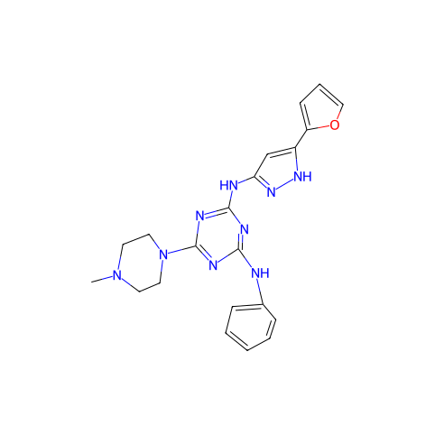 CN1CCN(c2nc(Nc3ccccc3)nc(Nc3cc(-c4ccco4)[nH]n3)n2)CC1